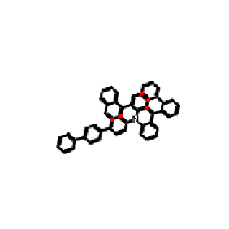 c1ccc(-c2ccc(-c3ccc(N(c4ccccc4-c4cccc5ccccc45)c4ccccc4-c4cc5ccccc5c5ccccc45)cc3)cc2)cc1